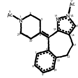 CC(=O)N1CCC(=C2c3ccccc3CCc3cn(C(C)=O)nc32)CC1